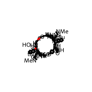 CN[C@@H](C)C(=O)N[C@H](C(=O)N1CC[C@@H]2[C@H]1C(=O)N[C@@H](Cc1ccc3ccccc3c1)C(=O)N[C@H](c1n[nH]c(=O)o1)c1ccc(cc1)OCc1cn(nn1)[C@@H]1CCN(C(=O)[C@@H](NC(=O)[C@H](C)NC)C(C)(C)C)[C@@H]1C(=O)N[C@@H](Cc1ccc3ccccc3c1)C(=O)N[C@H](C(=O)O)Cc1ccc(cc1)OCc1cn2nn1)C(C)(C)C